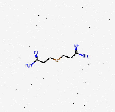 N=C(N)CCSCCC(=N)N